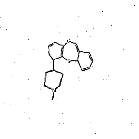 CN1CCC(C2CC=CC3=C2SC2C=CC=CC2=CO3)CC1